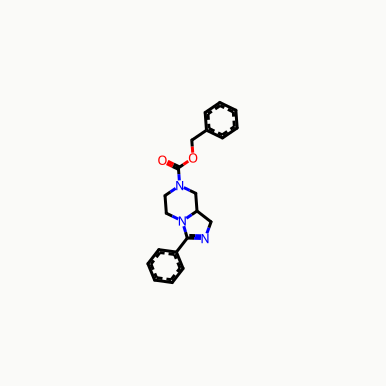 O=C(OCc1ccccc1)N1CCN2C(c3ccccc3)=NCC2C1